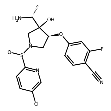 C[C@@H](N)C1(O)CN([S+]([O-])c2ccc(Cl)cn2)C[C@@H]1Oc1ccc(C#N)c(F)c1